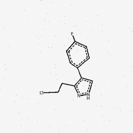 Fc1ccc(-c2c[nH]nc2CCCl)cc1